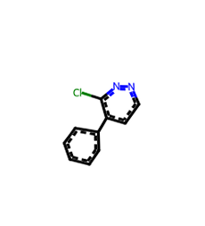 Clc1nnccc1-c1ccccc1